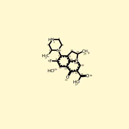 CC1CNCCN1c1c(F)cc2c(=O)c(C(=O)O)cn3c2c1CC3C.Cl